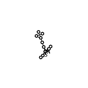 c1ccc(C2(c3ccccc3)c3ccccc3-c3cc(-c4ccc(-c5ccc(-c6cc7c8cc9ccccc9cc8sc7c7nc8cc9ccccc9cc8n67)cc5)cc4)ccc32)cc1